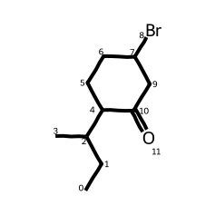 CCC(C)C1CCC(Br)CC1=O